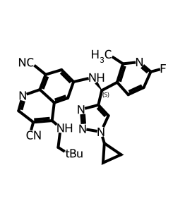 Cc1nc(F)ccc1[C@H](Nc1cc(C#N)c2ncc(C#N)c(NCC(C)(C)C)c2c1)c1cn(C2CC2)nn1